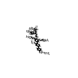 CCCCCc1ccc(-c2ccc(-c3cc(CCCO)c(OCCC(CO[Si](C)(C)C(C)(C)C)CO[Si](C)(C)C(C)(C)C)c(CCCO)c3)c(CC)c2)cc1